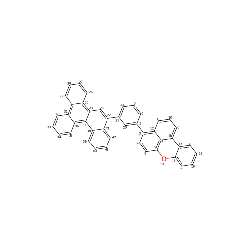 c1cc(-c2ccc3c4c(cccc24)-c2ccccc2O3)cc(-c2cc3c4ccccc4c4ccccc4c3c3ccccc23)c1